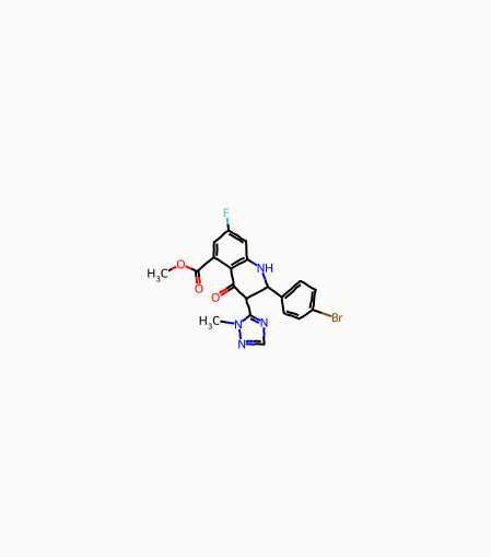 COC(=O)c1cc(F)cc2c1C(=O)C(c1ncnn1C)C(c1ccc(Br)cc1)N2